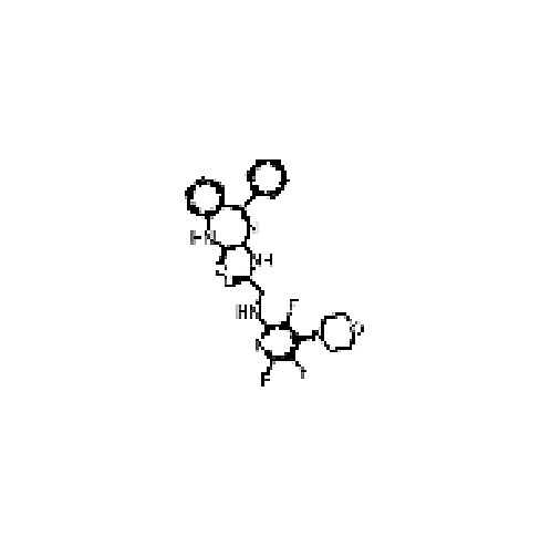 O=C(CNc1nc(F)c(F)c(N2CCOCC2)c1F)NC1N=C(c2ccccc2)c2ccccc2NC1=O